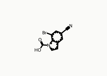 N#Cc1cc(Br)c2c(ccn2C(=O)O)c1